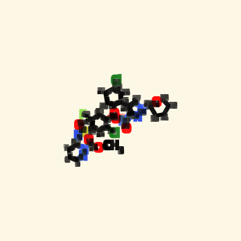 COCn1ncccc1=NS(=O)(=O)c1cc(Cl)c(Oc2ccc(Cl)cc2-c2cn(C3CCCCO3)nc2[N+](=O)[O-])cc1F